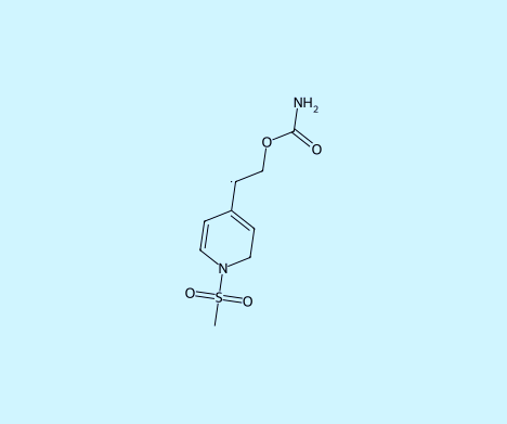 CS(=O)(=O)N1C=CC([CH]COC(N)=O)=CC1